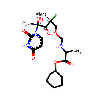 CO[C@](F)(COCNC(C)C(=O)OC1CCCCC1)[C@@H](O)[C@@](C)(O)n1ccc(=O)[nH]c1=O